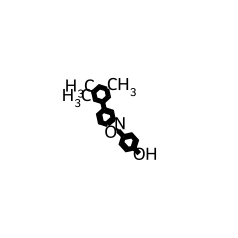 CC1CC(c2ccc3oc(-c4ccc(O)cc4)nc3c2)CC(C)(C)C1